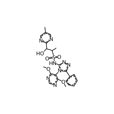 COc1ncnc(OC)c1-n1c(NS(=O)(=O)C(C)C(O)c2ncc(C)cn2)nnc1-c1ccccc1